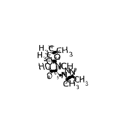 Cc1nnn(C[C@H](C(=O)O)N(C)C(=O)OC(C)(C)C)c1C